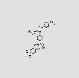 CCS(=O)(=O)c1ccc([C@H](CO)NC(=O)c2ccc(N3CC(c4ccc(C(F)(F)F)cc4)CC[C@H]3C(=O)O)cc2)cc1